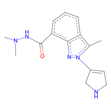 Cc1c2cccc(C(=O)NN(C)C)c2nn1C1=CCNC1